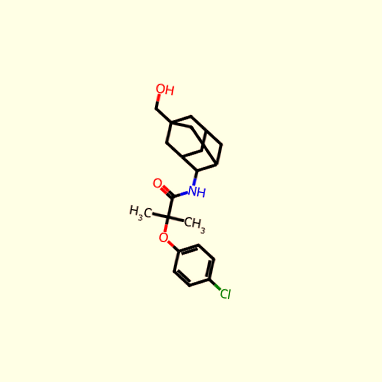 CC(C)(Oc1ccc(Cl)cc1)C(=O)NC1C2CC3CC1CC(CO)(C3)C2